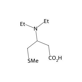 CCN(CC)C(CSC)CC(=O)O